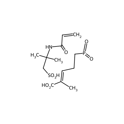 C=CC(=O)NC(C)(C)CS(=O)(=O)O.CC(=CCCP(=O)=O)C(=O)O